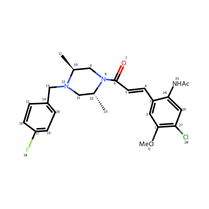 COc1cc(C=CC(=O)N2C[C@H](C)N(Cc3ccc(F)cc3)C[C@H]2C)c(NC(C)=O)cc1Cl